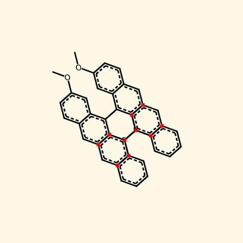 COc1ccc2ccc(P(c3ccccc3)c3ccccc3)c(-c3c(P(c4ccccc4)c4ccccc4)ccc4ccc(OC)cc34)c2c1